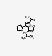 CC(=O)c1nc(-c2ccccn2)c2c(NC(C)C)ncnn12